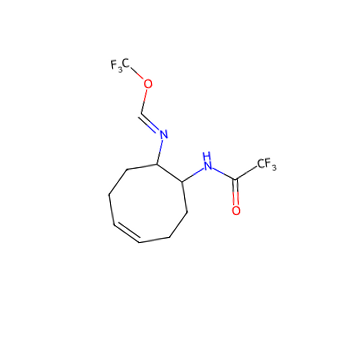 O=C(NC1CC/C=C\CCC1N=COC(F)(F)F)C(F)(F)F